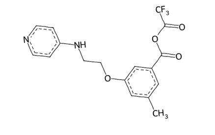 Cc1cc(OCCNc2ccncc2)cc(C(=O)OC(=O)C(F)(F)F)c1